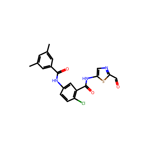 Cc1cc(C)cc(C(=O)Nc2ccc(Cl)c(C(=O)Nc3cnc(C=O)s3)c2)c1